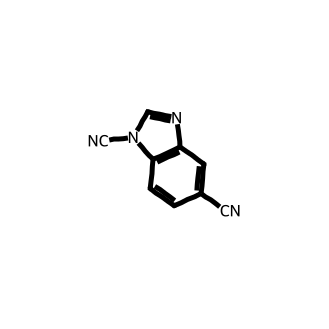 N#Cc1ccc2c(c1)ncn2C#N